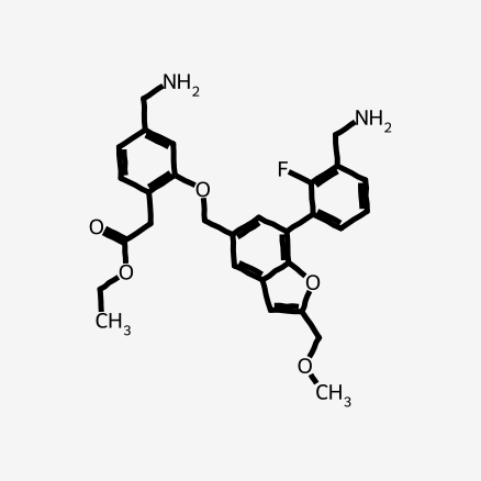 CCOC(=O)Cc1ccc(CN)cc1OCc1cc(-c2cccc(CN)c2F)c2oc(COC)cc2c1